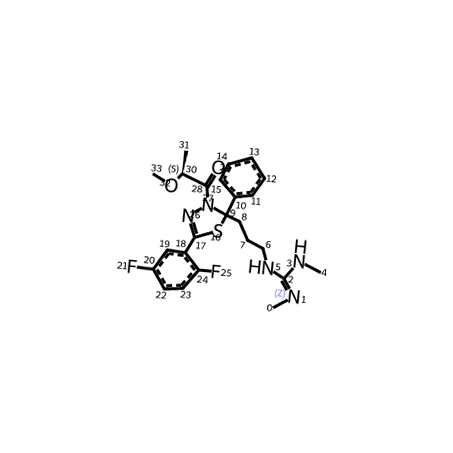 C/N=C(/NC)NCCCC1(c2ccccc2)SC(c2cc(F)ccc2F)=NN1C(=O)[C@H](C)OC